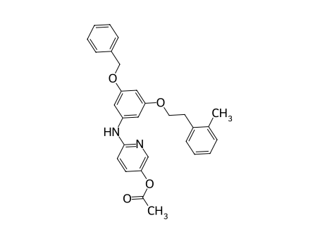 CC(=O)Oc1ccc(Nc2cc(OCCc3ccccc3C)cc(OCc3ccccc3)c2)nc1